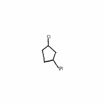 CC(C)C1[CH]C(Cl)CC1